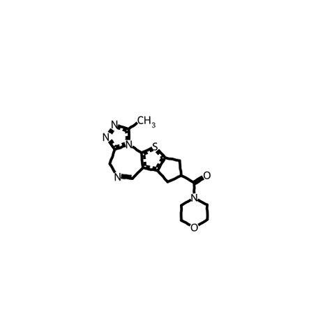 Cc1nnc2n1-c1sc3c(c1C=NC2)CC(C(=O)N1CCOCC1)C3